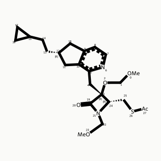 COCO[C@@]1(Cc2nccc3c2C[C@H](CCC2CC2)C3)C(=O)N(COC)[C@H]1CSC(C)=O